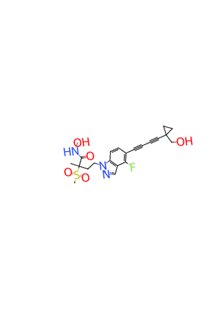 CC(CCn1ncc2c(F)c(C#CC#CC3(CO)CC3)ccc21)(C(=O)NO)S(C)(=O)=O